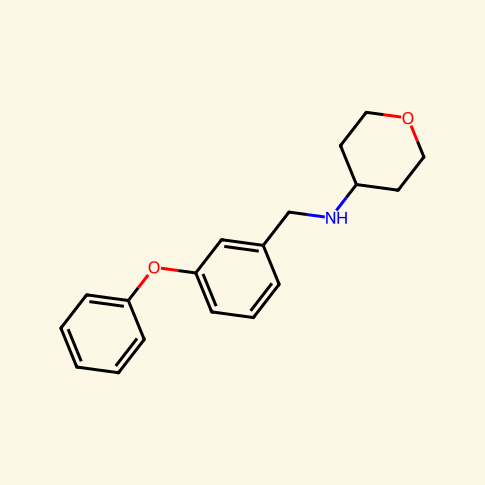 c1ccc(Oc2cccc(CNC3CCOCC3)c2)cc1